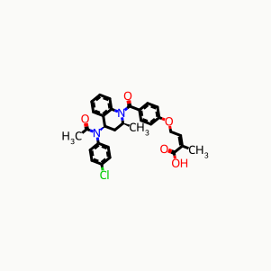 CC(=O)N(c1ccc(Cl)cc1)[C@@H]1C[C@H](C)N(C(=O)c2ccc(OCC=C(C)C(=O)O)cc2)c2ccccc21